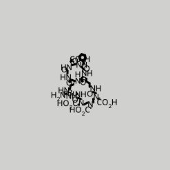 CCCCNC(=O)CN(CCN(CCN(CC(=O)O)CC(=O)NCCCC[C@@H]1NC(=O)[C@@H](Cc2ccccc2)NC(=O)[C@H](CC(=O)O)NC(=O)CNC(=O)[C@H](CCCNC(=N)N)NC1=O)CC(=O)O)CC(=O)O